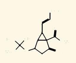 CCCCCC=CC1C2C(OC(C)(C)OC)CC(=O)C12C(=O)OC